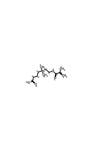 C=C(C)C(=O)OCC[N+](C)(C)CCCC(=O)[O-]